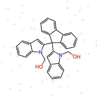 OCn1c(C2(c3cc4ccccc4n3CO)c3ccccc3-c3ccccc32)cc2ccccc21